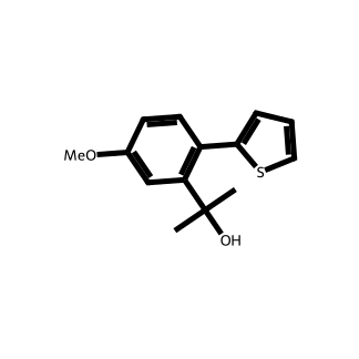 COc1ccc(-c2cccs2)c(C(C)(C)O)c1